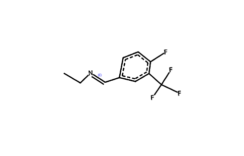 CC/N=C/c1ccc(F)c(C(F)(F)F)c1